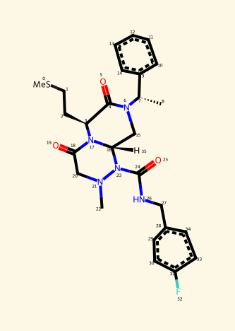 CSCC[C@H]1C(=O)N([C@@H](C)c2ccccc2)C[C@H]2N1C(=O)CN(C)N2C(=O)NCc1ccc(F)cc1